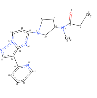 CN(C(=O)CC(F)(F)F)[C@H]1CCN(c2ccn3ncc(-c4ccccn4)c3n2)C1